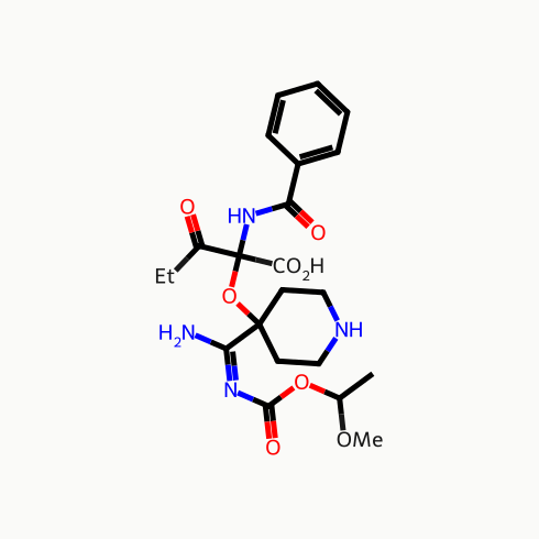 CCC(=O)C(NC(=O)c1ccccc1)(OC1(C(N)=NC(=O)OC(C)OC)CCNCC1)C(=O)O